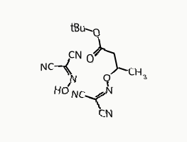 CC(CC(=O)OC(C)(C)C)ON=C(C#N)C#N.N#CC(C#N)=NO